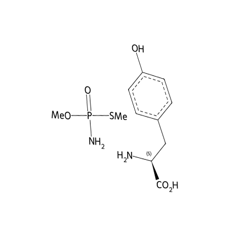 COP(N)(=O)SC.N[C@@H](Cc1ccc(O)cc1)C(=O)O